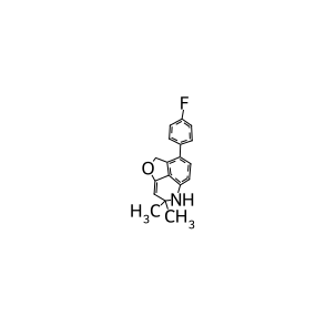 CC1(C)C=C2OCc3c(-c4ccc(F)cc4)ccc(c32)N1